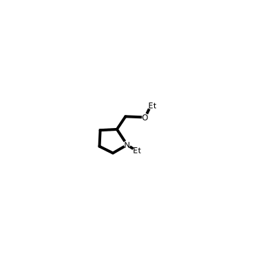 CCOCC1CCCN1CC